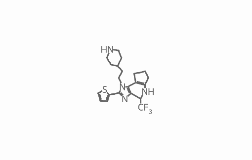 FC(F)(F)C1NC2=C(CCC2)c2c1nc(-c1cccs1)n2CCC1CCNCC1